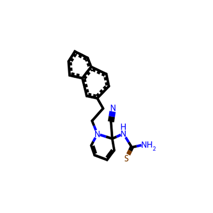 N#CC1(NC(N)=S)C=CC=CN1CCc1ccc2ccccc2c1